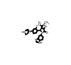 Cc1c2c(nn1C)C(=O)N(c1ccc3[nH]cnc3c1)C2c1ccc(N2CC3CC2CN3)cc1F